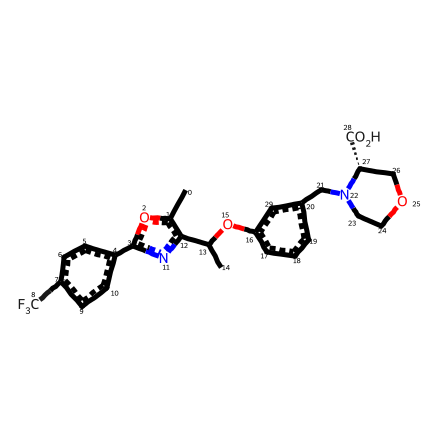 Cc1oc(-c2ccc(C(F)(F)F)cc2)nc1C(C)Oc1cccc(CN2CCOC[C@H]2C(=O)O)c1